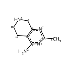 Cc1nc(N)c2c(n1)CNCC2